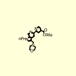 CCCn1cc(CN2CCOCC2)c2cc(-c3cc(C(=O)OC)ccn3)ncc21